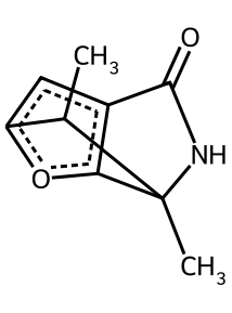 CC1c2cc3c(o2)C1(C)NC3=O